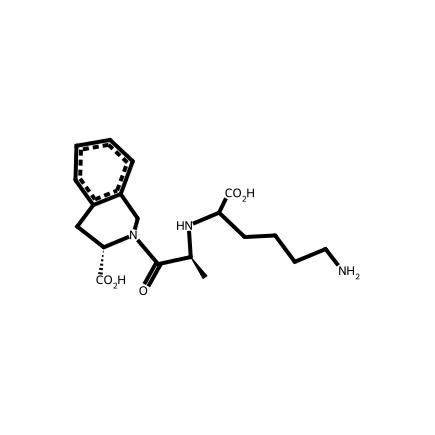 C[C@H](NC(CCCCN)C(=O)O)C(=O)N1Cc2ccccc2C[C@H]1C(=O)O